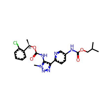 CC(C)COC(=O)Nc1ccc(-c2nnn(C)c2NC(=O)O[C@H](C)c2ccccc2Cl)nc1